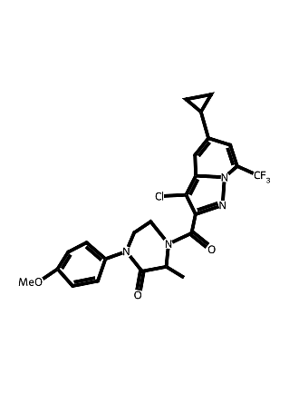 COc1ccc(N2CCN(C(=O)c3nn4c(C(F)(F)F)cc(C5CC5)cc4c3Cl)C(C)C2=O)cc1